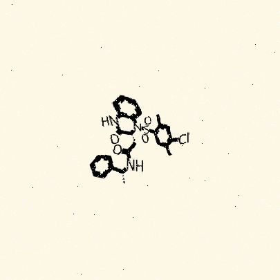 Cc1cc(S(=O)(=O)N2c3ccccc3NC(=O)[C@H]2CC(=O)N[C@H](C)c2ccccc2)c(C)cc1Cl